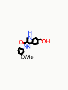 COc1cccc(-n2nc3c4ccc(CO)cc4[nH]cc-3c2=O)c1